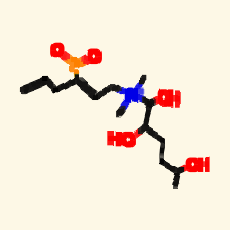 C=CCC(=CC[N+](C)(C)C(O)C(O)CCC(C)O)P(=O)=O